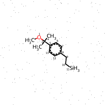 COC(C)(C)c1ccc(CC[SiH3])cc1